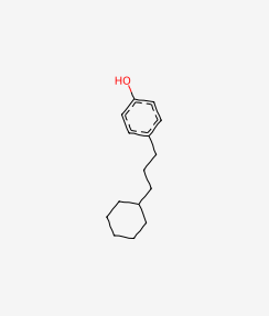 Oc1ccc(CCCC2CCCCC2)cc1